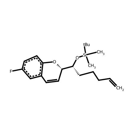 C=CCCC[C@@H](O[Si](C)(C)C(C)(C)C)[C@@H]1C=Cc2cc(F)ccc2O1